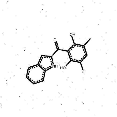 Cc1cc(Cl)c(O)c(C(=O)c2cc3ccccc3[nH]2)c1O